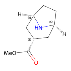 COC(=O)[C@@H]1C[C@H]2CC[C@@H](C1)N2